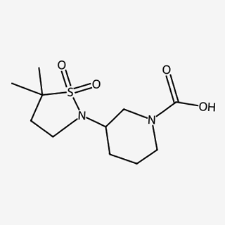 CC1(C)CCN(C2CCCN(C(=O)O)C2)S1(=O)=O